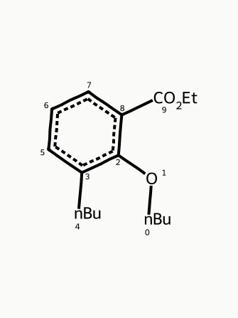 CCCCOc1c(CCCC)cccc1C(=O)OCC